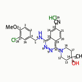 COc1ccc(CNc2nnc(N3CCC(C)(O)CC3)c3ccc(C#N)cc23)cc1Cl.Cl